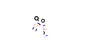 BO[C@H](CCCN(C)C(=N)N)NC(C(=O)O)N(C(=O)[C@@H](Cc1ccccc1)NS(=O)(=O)N1CCOCC1)C1CCCC1